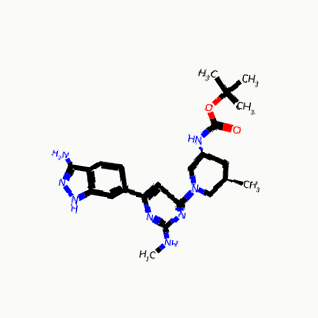 CNc1nc(-c2ccc3c(N)n[nH]c3c2)cc(N2C[C@H](C)C[C@@H](NC(=O)OC(C)(C)C)C2)n1